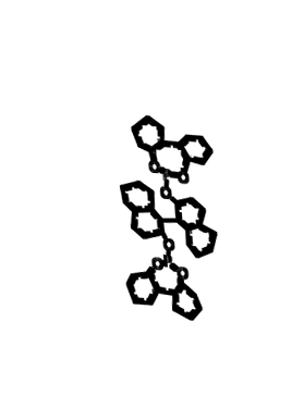 c1ccc2c(-c3c(Op4oc5ccccc5c5ccccc5o4)ccc4ccccc34)c(Op3oc4ccccc4c4ccccc4o3)ccc2c1